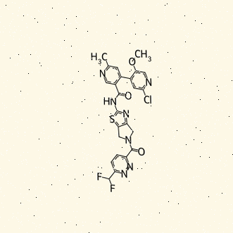 COc1cnc(Cl)cc1-c1cc(C)ncc1C(=O)Nc1nc2c(s1)CN(C(=O)c1ccc(C(F)F)nn1)C2